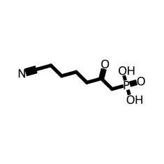 N#CCCCCC(=O)CP(=O)(O)O